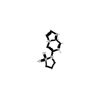 O=S1(=O)CCCN1c1cn2ccnc2cn1